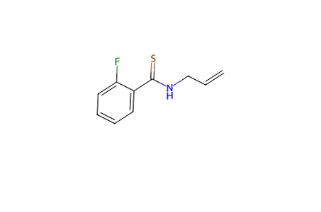 C=CCNC(=S)c1ccccc1F